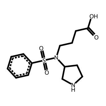 O=C(O)CCCN(C1CCNC1)S(=O)(=O)c1ccccc1